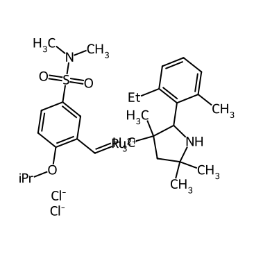 CC(C)Oc1ccc(S(=O)(=O)N(C)C)cc1[CH]=[Ru+2].CCc1cccc(C)c1C1NC(C)(C)CC1(C)C.[Cl-].[Cl-]